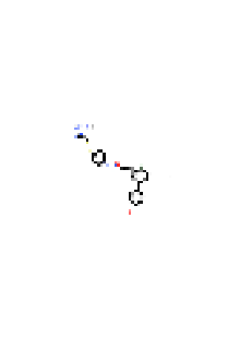 CCCCOc1ccc(C2=CC(C)C(Cl)C(/C=C/C(=O)Nc3ccc([S@@+]([O-])Cc4cncn4CCCC)cc3)=C2)cc1